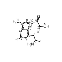 CC(N)Cc1cc(F)cc2c(C(F)(F)F)coc12.O=C(O)C(=O)O